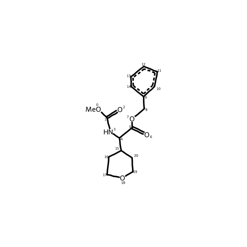 COC(=O)NC(C(=O)OCc1ccccc1)C1CCOCC1